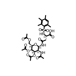 CC(=O)N[C@H]1[C@@H](OC(C)=O)[C@H](OC(C)=O)[C@@H](COC(C)=O)O[C@H]1NC(=O)C[C@H](NS(=O)(=O)c1c(C)cc(C)c(C)c1C)C(=O)O